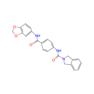 O=C(Nc1ccc2c(c1)OCO2)c1ccc(NC(=O)N2Cc3ccccc3C2)cc1